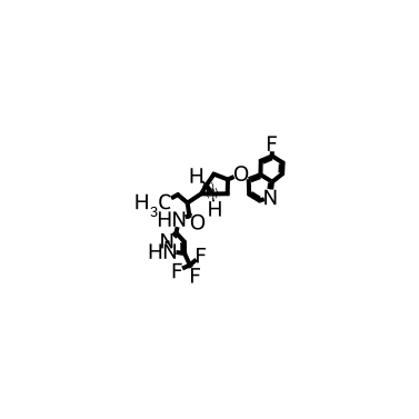 CCC(C(=O)Nc1cc(C(F)(F)F)[nH]n1)C1[C@H]2CC(Oc3ccnc4ccc(F)cc34)C[C@@H]12